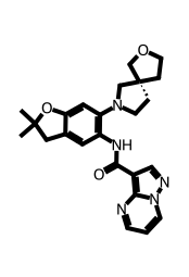 CC1(C)Cc2cc(NC(=O)c3cnn4cccnc34)c(N3CC[C@]4(CCOC4)C3)cc2O1